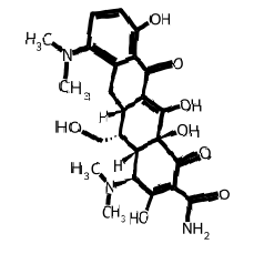 CN(C)c1ccc(O)c2c1C[C@@H]1C(=C(O)[C@]3(O)C(=O)C(C(N)=O)=C(O)[C@@H](N(C)C)[C@@H]3[C@@H]1CO)C2=O